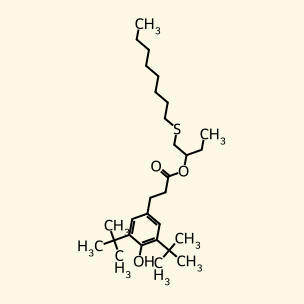 CCCCCCCCSCC(CC)OC(=O)CCc1cc(C(C)(C)C)c(O)c(C(C)(C)C)c1